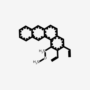 C=Cc1cc2ccc3cc4ccccc4cc3c2c([SiH2]O[SiH3])c1C=C